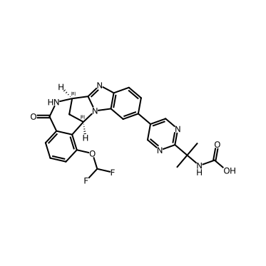 CC(C)(NC(=O)O)c1ncc(-c2ccc3nc4n(c3c2)[C@@H]2C[C@H]4NC(=O)c3cccc(OC(F)F)c32)cn1